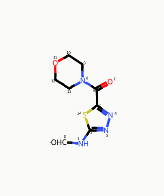 O=[C]Nc1nnc(C(=O)N2CCOCC2)s1